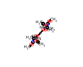 C=CC(=O)OC1CCN(C2=C(S(=O)(=O)c3ccc(C)cc3)/C(=C(\C#N)C(=O)OCCCCCCOC(=O)/C(C#N)=C3\CC(C)(C)CC(N4CCC(OC(=O)C=C)CC4)=C3S(=O)(=O)c3ccc(C)cc3)CC(C)(C)C2)CC1